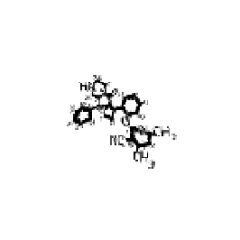 Cc1cc(C)c(C#N)c(Oc2ccccc2-c2ccsc2C(=O)N2CCNC[C@H]2Cc2ccccc2)n1